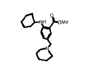 COC(=O)c1cc(CN2CCCCC2)ccc1NC1CCCCC1